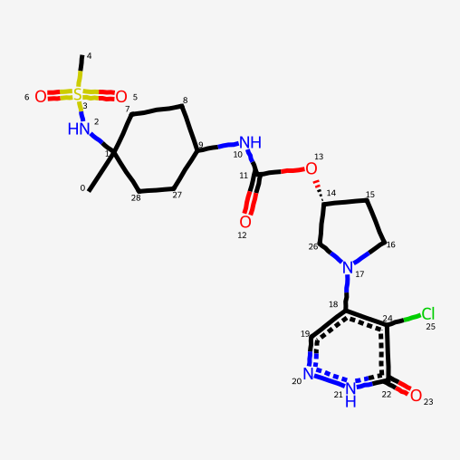 CC1(NS(C)(=O)=O)CCC(NC(=O)O[C@@H]2CCN(c3cn[nH]c(=O)c3Cl)C2)CC1